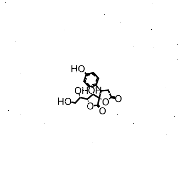 O=C1C[C@H](c2ccc(O)cc2)[C@@]2(O1)C(=O)O[C@H]([C@@H](O)CO)[C@H]2O